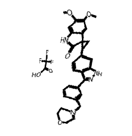 COc1cc2c(cc1OC)C1(CC1c1ccc3c(-c4cccc(CN5CCOCC5)c4)n[nH]c3c1)C(=O)N2.O=C(O)C(F)(F)F